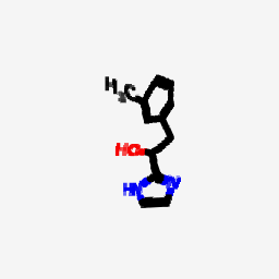 Cc1cccc(CC(O)c2ncc[nH]2)c1